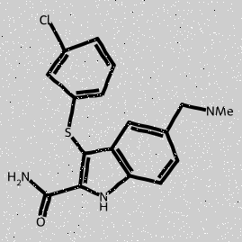 CNCc1ccc2[nH]c(C(N)=O)c(Sc3cccc(Cl)c3)c2c1